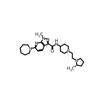 C[C@@H]1CCCN1CCN1CCC(NC(=O)c2nn(C)c3nc(N4CCCCCC4)ccc23)CC1